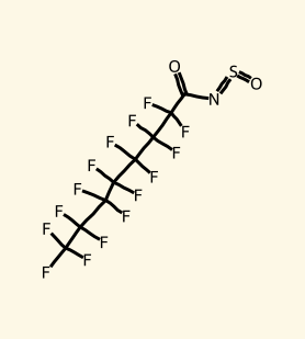 O=S=NC(=O)C(F)(F)C(F)(F)C(F)(F)C(F)(F)C(F)(F)C(F)(F)C(F)(F)F